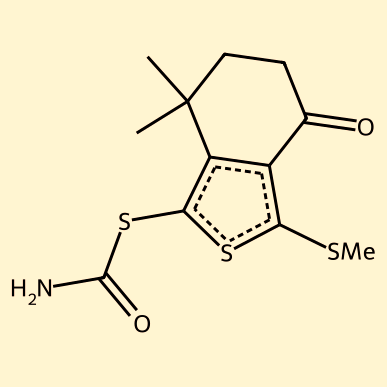 CSc1sc(SC(N)=O)c2c1C(=O)CCC2(C)C